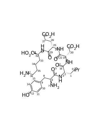 CC(C)C[C@H](NC(=O)[C@@H](N)Cc1ccc(O)cc1)C(=O)N[C@@H](CC(=O)O)C(=O)N[C@@H](CCC(=O)O)C(=O)N[C@@H](CCCCN)C(=O)O